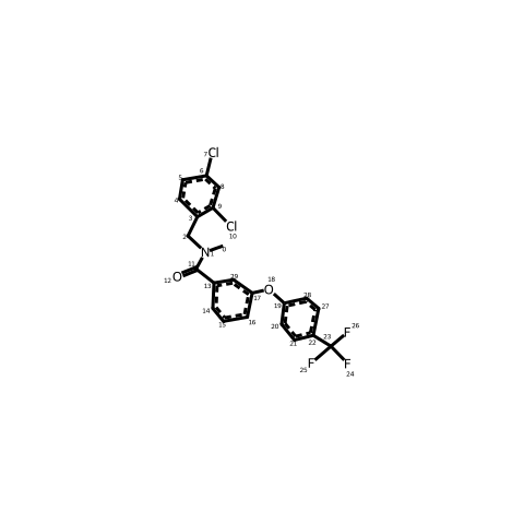 CN(Cc1ccc(Cl)cc1Cl)C(=O)c1cccc(Oc2ccc(C(F)(F)F)cc2)c1